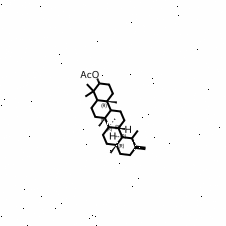 C=C1CC[C@]2(C)CC[C@]3(C)[C@H](CCC4[C@@]5(C)CCC(OC(C)=O)C(C)(C)C5CC[C@]43C)[C@H]2C1C